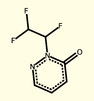 O=c1cccnn1C(F)C(F)F